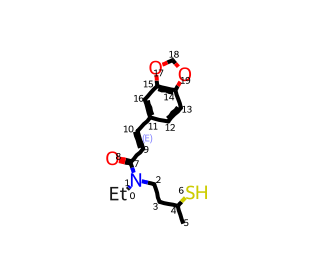 CCN(CCC(C)S)C(=O)/C=C/c1ccc2c(c1)OCO2